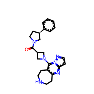 O=C(C1CN(c2c3c(nc4ccnn24)CCNCC3)C1)N1CC[C@@H](c2ccccc2)C1